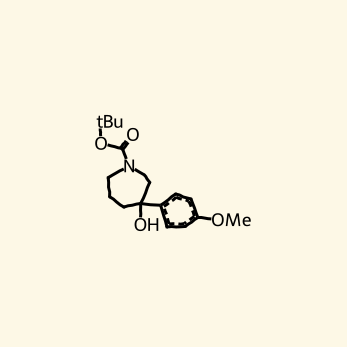 COc1ccc(C2(O)CCCN(C(=O)OC(C)(C)C)CC2)cc1